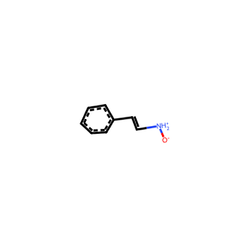 [O-][NH2+]C=Cc1ccccc1